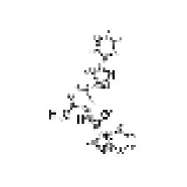 Cc1ccc(-c2nc(-c3cccnc3)no2)cc1NC(=O)c1cnc2ccccn12